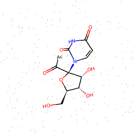 CC(=O)C(=O)[C@@]1(n2ccc(=O)[nH]c2=O)O[C@H](CO)[C@@H](O)[C@H]1O